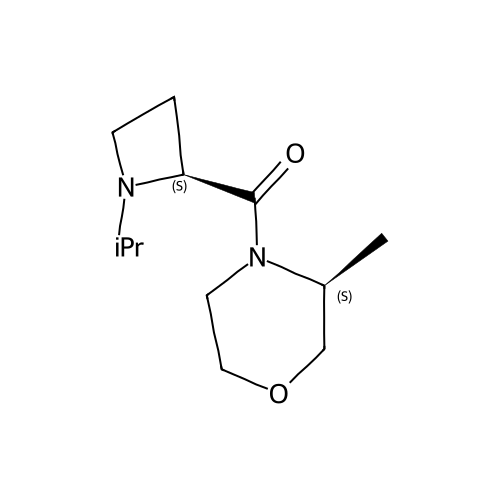 CC(C)N1CC[C@H]1C(=O)N1CCOC[C@@H]1C